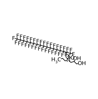 CCCN(CC(O)CO)S(=O)(=O)C(F)(F)C(F)(F)C(F)(F)C(F)(F)C(F)(F)C(F)(F)C(F)(F)C(F)(F)C(F)(F)C(F)(F)C(F)(F)C(F)(F)C(F)(F)C(F)(F)C(F)(F)C(F)(F)C(F)(F)F